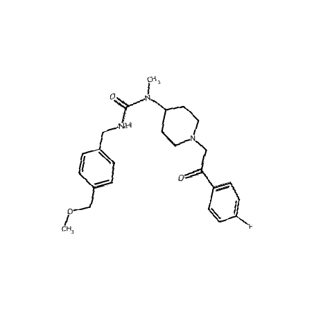 COCc1ccc(CNC(=O)N(C)C2CCN(CC(=O)c3ccc(F)cc3)CC2)cc1